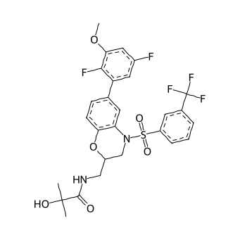 COc1cc(F)cc(-c2ccc3c(c2)N(S(=O)(=O)c2cccc(C(F)(F)F)c2)CC(CNC(=O)C(C)(C)O)O3)c1F